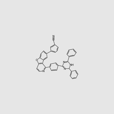 N#Cc1cccc(-c2ccc3oc4ccnc(-c5ccc(C6=NC(c7ccccc7)NC(c7ccccc7)=N6)cc5)c4c3c2)c1